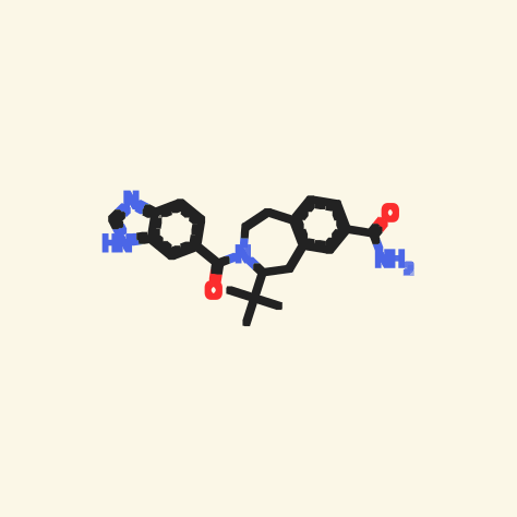 CC(C)(C)C1Cc2cc(C(N)=O)ccc2CCN1C(=O)c1ccc2nc[nH]c2c1